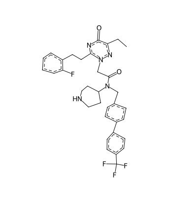 CCc1nn(CC(=O)N(Cc2ccc(-c3ccc(C(F)(F)F)cc3)cc2)C2CCNCC2)c(CCc2ccccc2F)nc1=O